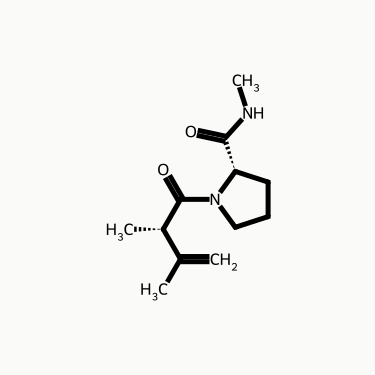 C=C(C)[C@H](C)C(=O)N1CCC[C@H]1C(=O)NC